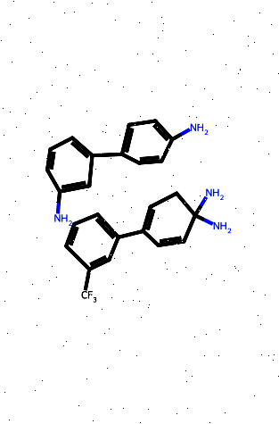 NC1(N)C=CC(c2cccc(C(F)(F)F)c2)=CC1.Nc1ccc(-c2cccc(N)c2)cc1